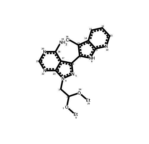 CCOC(Cn1nc(-c2[nH]c3ncccc3c2Cl)c2c(N)ncnc21)OCC